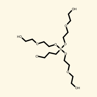 OCCOCCO[Si](CCCCl)(OCCOCCO)OCCOCCO